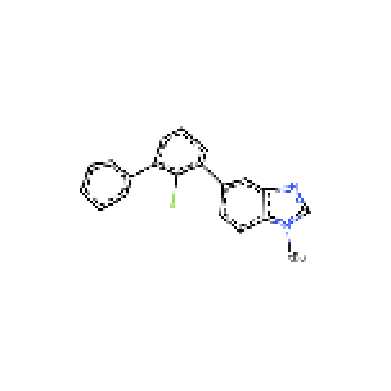 CC(C)(C)n1cnc2cc(-c3cccc(-c4ccccc4)c3F)ccc21